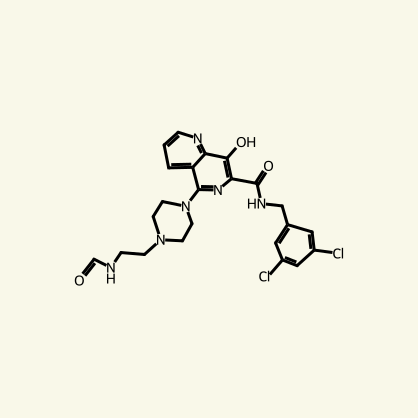 O=CNCCN1CCN(c2nc(C(=O)NCc3cc(Cl)cc(Cl)c3)c(O)c3ncccc23)CC1